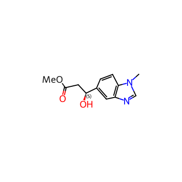 COC(=O)C[C@H](O)c1ccc2c(c1)ncn2C